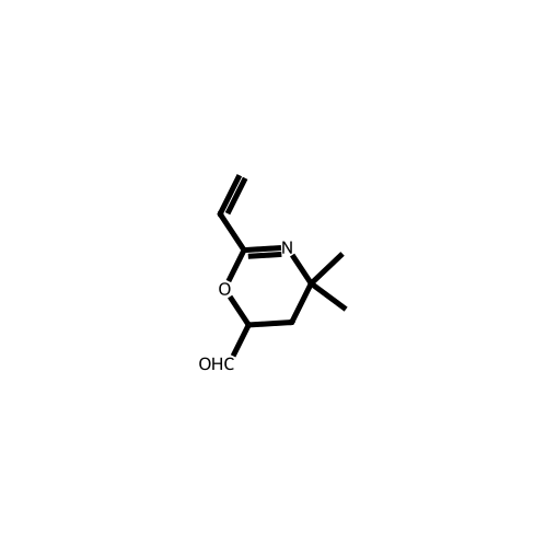 C=CC1=NC(C)(C)CC(C=O)O1